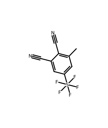 Cc1cc(S(F)(F)(F)(F)F)cc(C#N)c1C#N